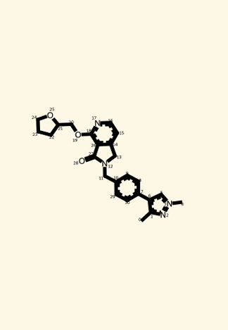 Cc1nn(C)cc1-c1ccc(CN2Cc3ccnc(OCC4CCCO4)c3C2=O)cc1